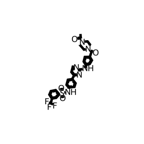 CC(=O)N1CCN(C(=O)c2ccc(Nc3nccc(-c4ccc(NS(=O)(=O)c5cccc(C(F)(F)F)c5)cc4)n3)cc2)CC1